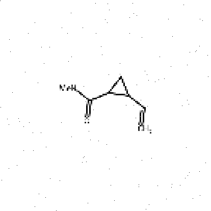 C=CC1CC1C(=O)NC